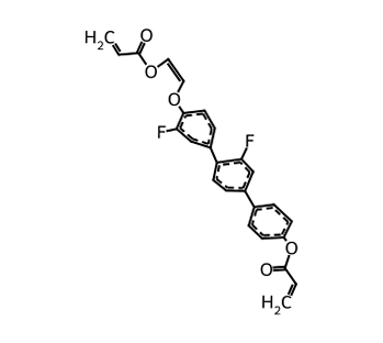 C=CC(=O)O/C=C\Oc1ccc(-c2ccc(-c3ccc(OC(=O)C=C)cc3)cc2F)cc1F